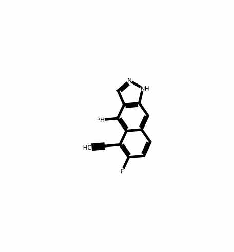 [2H]c1c2cn[nH]c2cc2ccc(F)c(C#C)c12